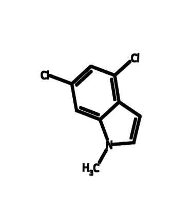 Cn1ccc2c(Cl)cc(Cl)cc21